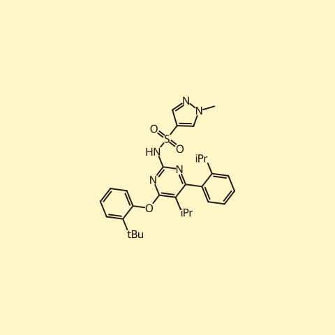 CC(C)c1ccccc1-c1nc(NS(=O)(=O)c2cnn(C)c2)nc(Oc2ccccc2C(C)(C)C)c1C(C)C